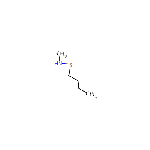 CCCCSNC